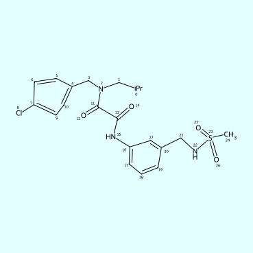 CC(C)CN(Cc1ccc(Cl)cc1)C(=O)C(=O)Nc1cccc(CNS(C)(=O)=O)c1